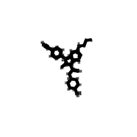 CCCOc1cnc2c(C(=O)CN3CCC(O)CC3)c(C)n(-c3ccc(C#N)cc3)c2c1